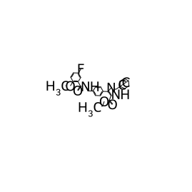 CCOC(=O)c1[nH]c(C23CCC(CC2)CC3)nc1-c1ccc(CNC(=O)c2cc(F)ccc2OC)cc1